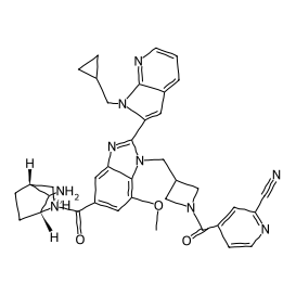 COc1cc(C(=O)N2C[C@H]3CC[C@@H]2[C@@H]3N)cc2nc(-c3cc4cccnc4n3CC3CC3)n(CC3CN(C(=O)c4ccnc(C#N)c4)C3)c12